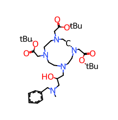 CN(Cc1ccccc1)CC(O)CN1CCN(CC(=O)OC(C)(C)C)CCN(CC(=O)OC(C)(C)C)CCN(CC(=O)OC(C)(C)C)CC1